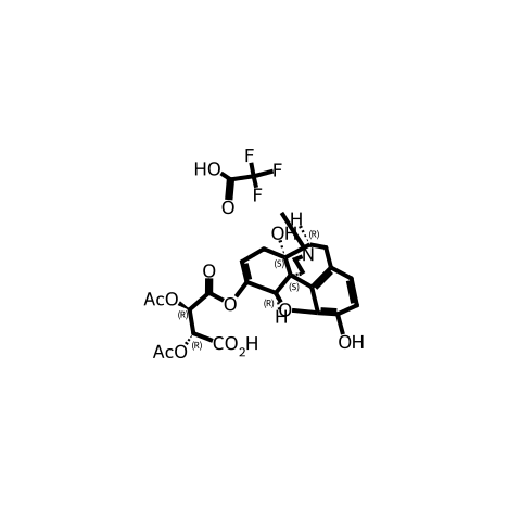 CC(=O)O[C@@H](C(=O)O)[C@@H](OC(C)=O)C(=O)OC1=CC[C@@]2(O)[C@H]3Cc4ccc(O)c5c4[C@@]2(CCN3C)[C@H]1O5.O=C(O)C(F)(F)F